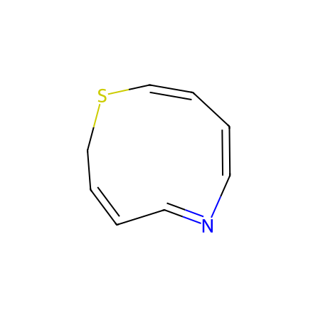 C1=C\N=C\C=C/CS\C=C/1